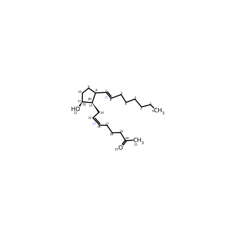 CCCCCC/C=C/C1CC[C@H](O)[C@@H]1C/C=C\CCCC(C)=O